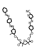 CCC(C)(CC(C)(C)C(=O)OCCOc1ccc(/N=N/c2ccc(C#N)nc2)cc1)C(=O)OCCOc1ccc(/N=N/c2ccc(/N=N/c3ccccc3)cc2)cc1C